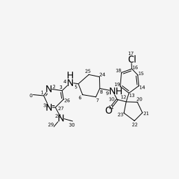 Cc1nc(NC2CCC(NC(=O)C3(c4ccc(Cl)cc4)CCCC3)CC2)cc(N(C)C)n1